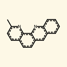 Cc1ccc2ccc3cc4ccccc4nc3c2n1